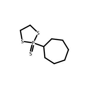 S=P1(C2CCCCCC2)SCCS1